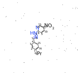 CC(C)c1ccc(/C=N/Nc2ccc([N+](=O)[O-])cn2)cc1